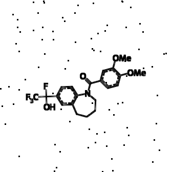 COc1ccc(C(=O)N2CCCCc3cc(C(O)(F)C(F)(F)F)ccc32)cc1OC